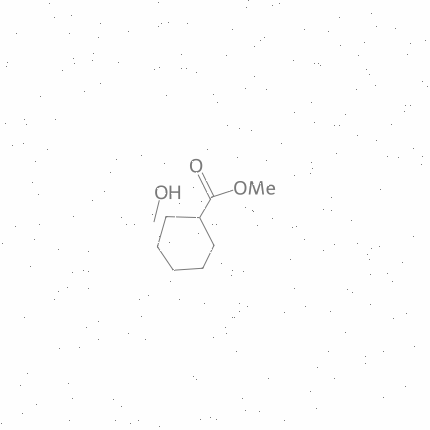 CO.COC(=O)C1CCCCC1